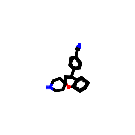 N#Cc1ccc(C2=CC3(CCNCC3)Oc3ccccc32)cc1